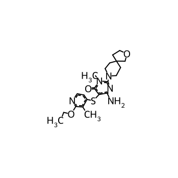 CCOc1nccc(Sc2c(N)nc(N3CCC4(CCOC4)CC3)n(C)c2=O)c1C